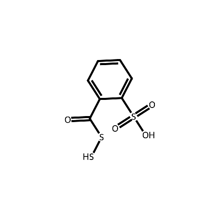 O=C(SS)c1ccccc1S(=O)(=O)O